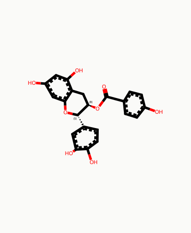 O=C(O[C@@H]1Cc2c(O)cc(O)cc2O[C@H]1c1ccc(O)c(O)c1)c1ccc(O)cc1